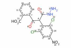 NNC(=O)C(C(=O)c1ccccc1C(=O)O)c1c(Cl)cc([N+](=O)[O-])cc1Cl